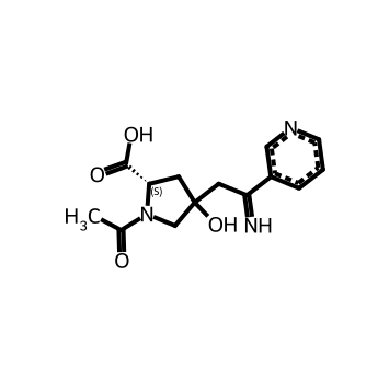 CC(=O)N1CC(O)(CC(=N)c2cccnc2)C[C@H]1C(=O)O